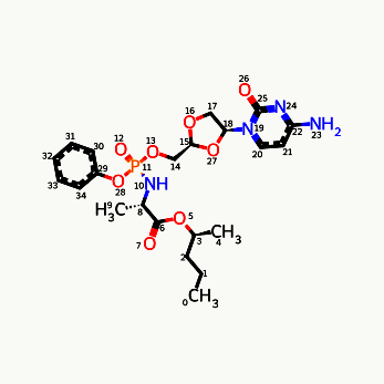 CCC[C@H](C)OC(=O)[C@H](C)N[P@](=O)(OC[C@H]1OC[C@@H](n2ccc(N)nc2=O)O1)Oc1ccccc1